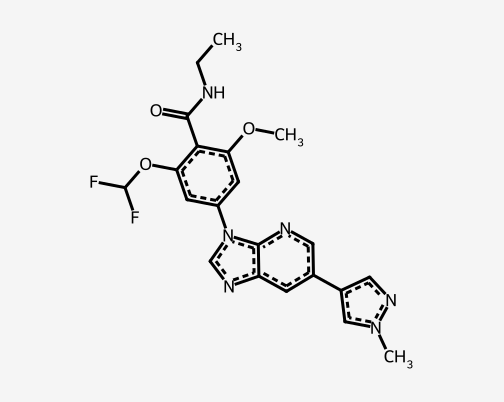 CCNC(=O)c1c(OC)cc(-n2cnc3cc(-c4cnn(C)c4)cnc32)cc1OC(F)F